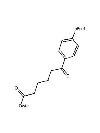 CCCCCc1ccc(C(=O)CCCCC(=O)OC)cc1